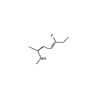 CCC(F)=CCC(C)NC